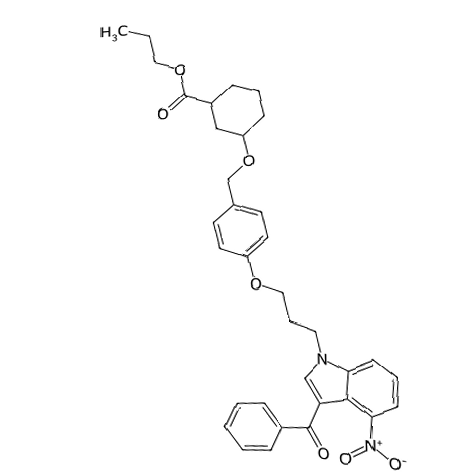 CCCOC(=O)C1CCCC(OCc2ccc(OCCCn3cc(C(=O)c4ccccc4)c4c([N+](=O)[O-])cccc43)cc2)C1